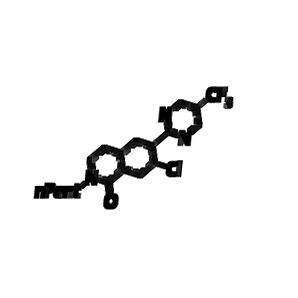 CCCCCn1ccc2cc(-c3ncc(C(F)(F)F)cn3)c(Cl)cc2c1=O